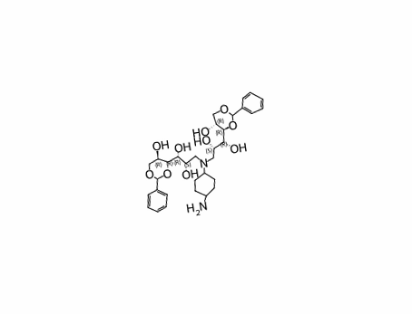 NC1CCC(N(C[C@H](O)[C@@H](O)[C@@H]2OC(c3ccccc3)OC[C@H]2O)C[C@H](O)[C@@H](O)[C@@H]2OC(c3ccccc3)OC[C@H]2O)CC1